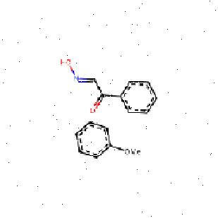 COc1ccccc1.O=C(C=NO)c1ccccc1